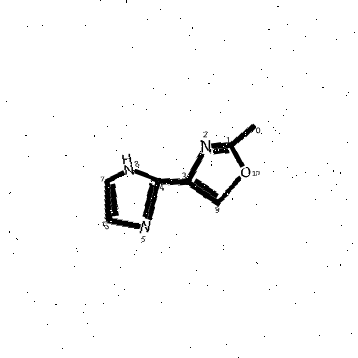 Cc1nc(-c2ncc[nH]2)co1